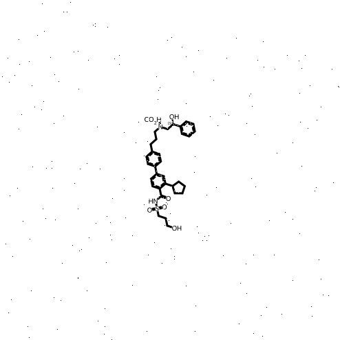 O=C(NS(=O)(=O)CCCO)c1ccc(-c2ccc(CCCN(C[C@@H](O)c3ccccc3)C(=O)O)cc2)cc1C1CCCC1